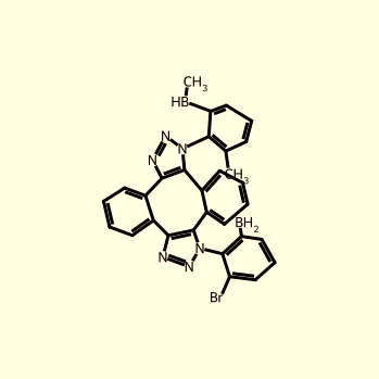 Bc1cccc(Br)c1-n1nnc2c1-c1ccccc1-c1c(nnn1-c1c(C)cccc1BC)-c1ccccc1-2